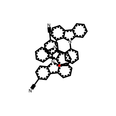 N#Cc1ccc(-n2c3ccccc3c3cc(C#N)ccc32)c(-c2ccccc2-n2c3ccccc3c3cccc(-n4c5ccccc5c5ccccc54)c32)c1